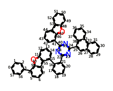 c1ccc(-c2cccc3c2oc2cccc(-c4ccccc4-c4nc(-c5cc6ccccc6c6ccccc56)nc(-c5cccc6c5oc5ccccc56)n4)c23)cc1